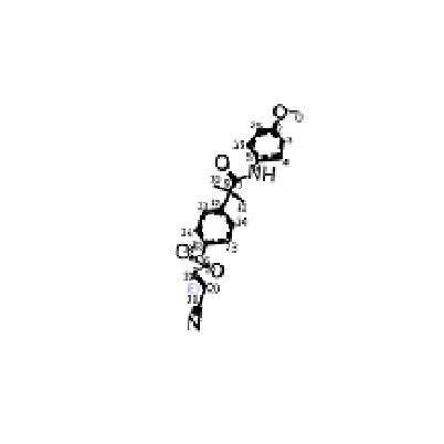 COc1ccc(NC(=O)C(C)(C)c2ccc(S(=O)(=O)/C=C/C#N)cc2)cc1